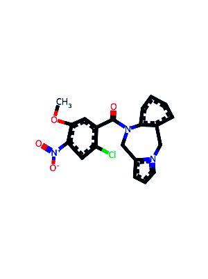 COc1cc(C(=O)N2Cc3cccn3Cc3ccccc32)c(Cl)cc1[N+](=O)[O-]